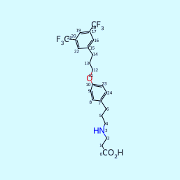 O=C(O)CCNCCCc1ccc(OCCCc2cc(C(F)(F)F)cc(C(F)(F)F)c2)cc1